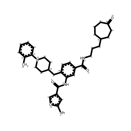 CCCc1cc(C(=O)Nc2cc(C(=O)NCCCC3CCCC(=O)CC3)ccc2CC2CCN(c3ccccc3C)CC2)co1